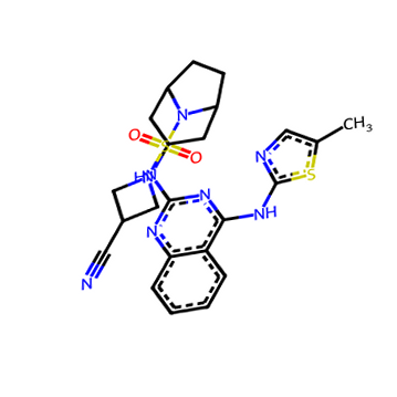 Cc1cnc(Nc2nc(NC3CC4CCC(C3)N4S(=O)(=O)N3CC(C#N)C3)nc3ccccc23)s1